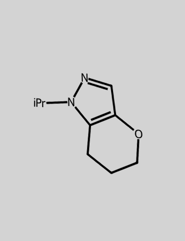 CC(C)n1ncc2c1CCCO2